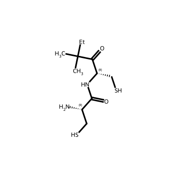 CCC(C)(C)C(=O)[C@H](CS)NC(=O)[C@@H](N)CS